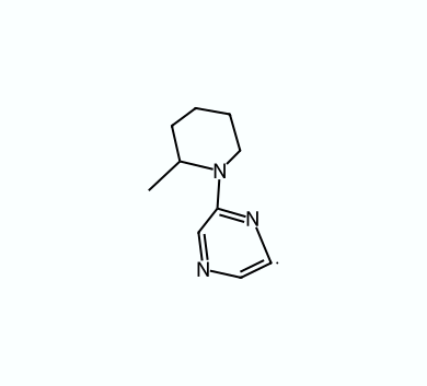 CC1CCCCN1c1cnc[c]n1